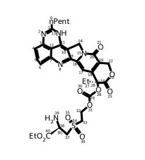 CCCCCC1=Nc2cccc3nc4c(c(c23)N1)Cn1c-4cc2c(c1=O)COC(=O)[C@@]2(CC)OC(=O)OCCS(=O)(=O)C[C@H](N)C(=O)OCC